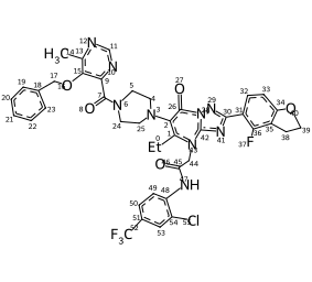 CCc1c(N2CCN(C(=O)c3ncnc(C)c3OCc3ccccc3)CC2)c(=O)n2nc(-c3ccc4c(c3F)CCO4)nc2n1CC(=O)Nc1ccc(C(F)(F)F)cc1Cl